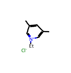 CC[n+]1cc(C)cc(C)c1.[Cl-]